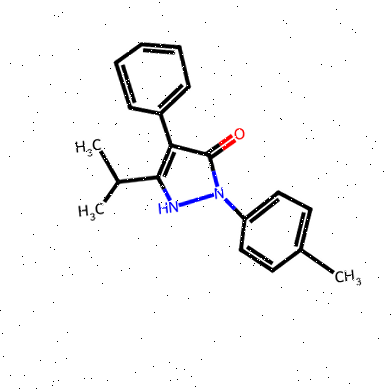 Cc1ccc(-n2[nH]c(C(C)C)c(-c3ccccc3)c2=O)cc1